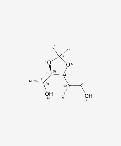 C[C@@H](CO)C1OC(C)(C)O[C@@H]1[C@@H](C)O